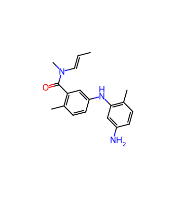 CC=CN(C)C(=O)c1cc(Nc2cc(N)ccc2C)ccc1C